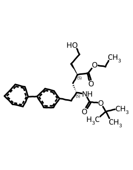 CCOC(=O)[C@H](CCO)C[C@@H](Cc1ccc(-c2ccccc2)cc1)NC(=O)OC(C)(C)C